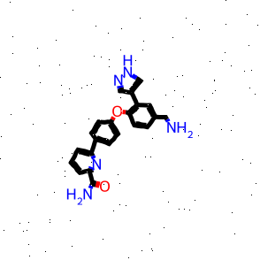 NCc1ccc(Oc2ccc(-c3cccc(C(N)=O)n3)cc2)c(-c2cn[nH]c2)c1